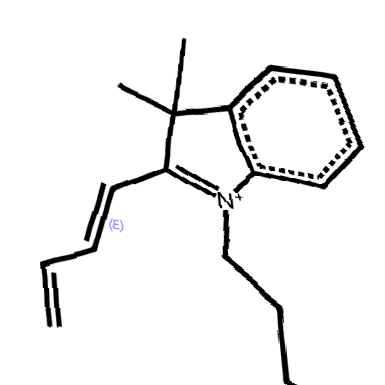 C=C/C=C/C1=[N+](CCCO)c2ccccc2C1(C)C